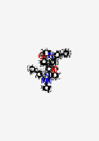 c1ccc(-c2ccc(-c3nc(-c4ccccc4)nc(-c4cccc5oc6cc(-c7ccc8oc9cccc(-n%10c%11ccccc%11c%11cc(-c%12ccccc%12)ccc%11%10)c9c8c7)ccc6c45)n3)cc2)cc1